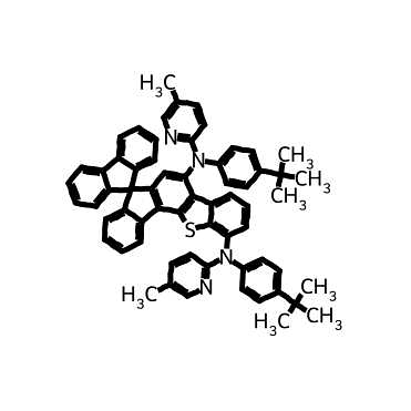 Cc1ccc(N(c2ccc(C(C)(C)C)cc2)c2cccc3c2sc2c4c(cc(N(c5ccc(C(C)(C)C)cc5)c5ccc(C)cn5)c23)C2(c3ccccc3-c3ccccc32)c2ccccc2-4)nc1